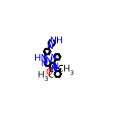 CC1CCCC(C)C1n1nc(-c2ccccn2)c2nc(Nc3ccc(N4CCNCC4)cc3)ncc2c1=O